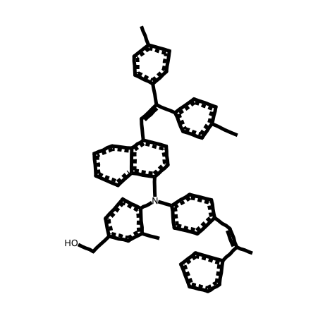 C/C(=C/c1ccc(N(c2ccc(CO)cc2C)c2ccc(C=C(c3ccc(C)cc3)c3ccc(C)cc3)c3ccccc23)cc1)c1ccccc1